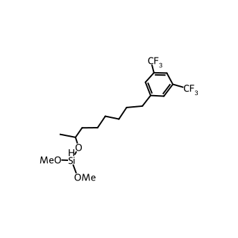 CO[SiH](OC)OC(C)CCCCCCc1cc(C(F)(F)F)cc(C(F)(F)F)c1